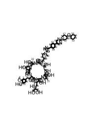 COc1cc(C[C@@H](O)[C@@H]2NC(=O)[C@@H]3C[C@@H](O)CN3C(=O)[C@H]([C@@H](C)O)NC(=O)[C@@H](NCC3CCN(c4nnc(-c5ccc(-c6cnc(N7CCC(OC8CCCCC8)CC7)nc6)cc5)s4)CC3)C[C@@H](O)CNC(=O)[C@@H]3[C@@H](O)[C@@H](C)CN3C(=O)[C@H]([C@H](O)CCNC(CO)CO)NC2=O)ccc1O